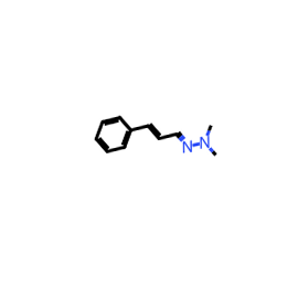 CN(C)/N=C/C=C/c1ccccc1